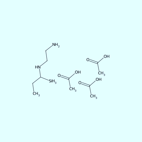 CC(=O)O.CC(=O)O.CC(=O)O.CCC([SiH3])NCCN